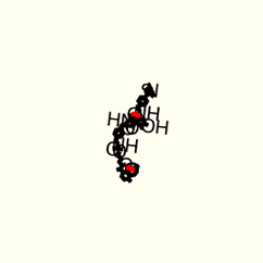 Cc1ncsc1-c1ccc(CNC(=O)C2CC(O)CN2C(=O)C(NC(=O)Cc2ccc(CNC(=O)OCCCC3OC4OC5(C)CCC6C(C)CCC(C3C)C46OO5)cc2)C(C)(C)C)cc1